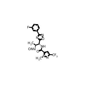 CO[C@@H](C)[C@@H](NC(=O)c1cc(C(F)(F)F)nn1C)c1nc(-c2cccc(F)c2)no1